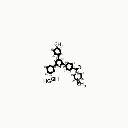 Cc1ccc(-c2cc(-c3ccccc3)nc(-c3ccc(C(=O)N4CCN(C)CC4)cc3)c2)cc1.Cl.Cl